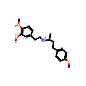 COc1ccc(CCC(C)NCCc2ccc(OC)c(OC)c2)cc1